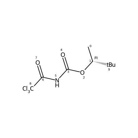 C[C@@H](OC(=O)NC(=O)C(Cl)(Cl)Cl)C(C)(C)C